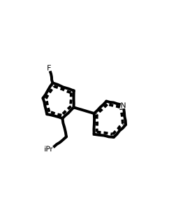 CC(C)Cc1ccc(F)cc1-c1cccnc1